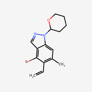 C=Cc1c(C)cc2c(cnn2C2CCCCO2)c1Br